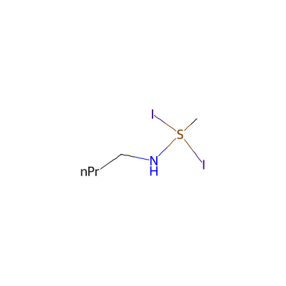 CCCCNS(C)(I)I